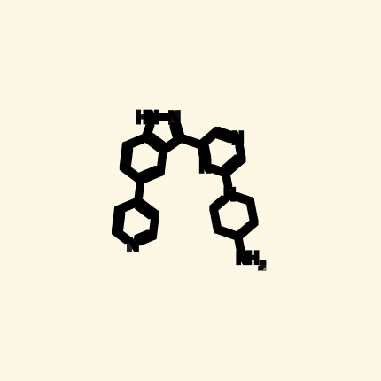 NC1CCN(c2cncc(-c3n[nH]c4ccc(-c5ccncc5)cc34)n2)CC1